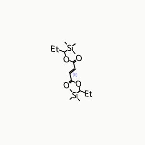 CCC(OC(=O)/C=C/C(=O)OC(CC)[Si](C)(C)C)[Si](C)(C)C